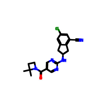 CC1(C)CCN1C(=O)c1cnc(N[C@H]2Cc3cc(Cl)cc(C#N)c3C2)nc1